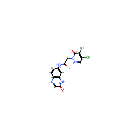 O=C(Cn1ncc(Cl)c(Cl)c1=O)Nc1ccc2ncc(=O)[nH]c2c1